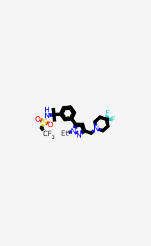 CCn1nc(CN2CCC(F)(F)CC2)cc1-c1cccc(C(C)(C)NS(=O)(=O)CC(F)(F)F)c1